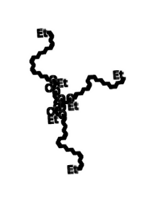 CC/C=C\C/C=C\CCCC/C=C\C/C=C\CC/C=C/OC(CC)C(=O)OCC(COC(=O)C(CC)O/C=C/CC/C=C\C/C=C\CCCC/C=C\C/C=C\CC)OC(=O)C(CC)O/C=C/CC/C=C\C/C=C\CCCC/C=C\C/C=C\CC